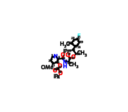 COc1ccnc(C(=O)N[C@@H](C)C(=O)O[C@@H](C)[C@H](c2ccc(F)cc2C)C(C)C)c1OC(=O)OC(C)C